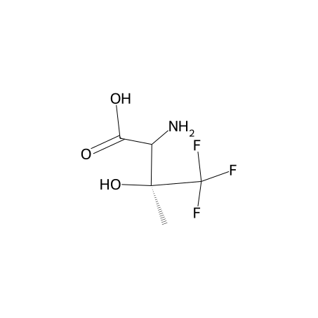 C[C@](O)(C(N)C(=O)O)C(F)(F)F